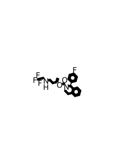 C=C(CCNCC(F)(F)F)OC(=O)N1CCc2ccccc2[C@@H]1c1ccc(F)cc1